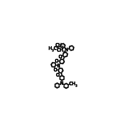 Cc1cccc(N(c2ccccc2)c2ccc3c(c2)oc2c4c(ccc23)B2c3ccc5c(oc6cc(N(c7ccccc7)c7cccc(C(C)(C)C)c7)ccc65)c3Oc3cccc(c32)O4)c1